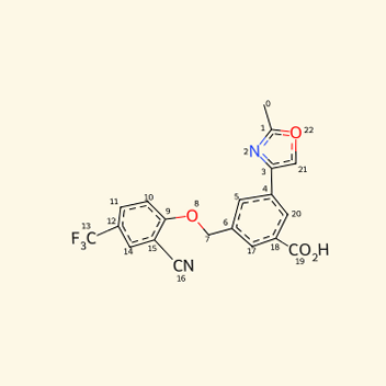 Cc1nc(-c2cc(COc3ccc(C(F)(F)F)cc3C#N)cc(C(=O)O)c2)co1